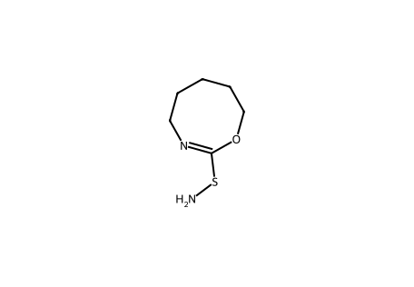 NS/C1=N/CCCCCO1